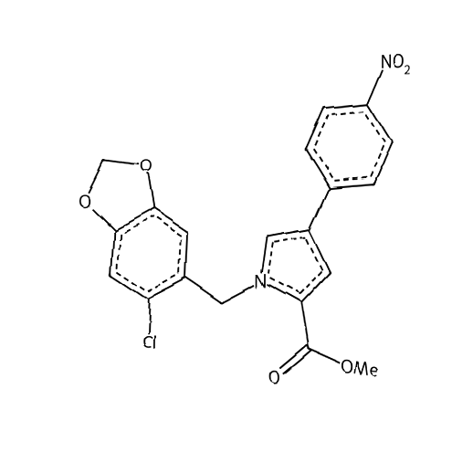 COC(=O)c1cc(-c2ccc([N+](=O)[O-])cc2)cn1Cc1cc2c(cc1Cl)OCO2